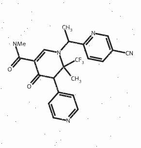 CNC(=O)C1=CN(C(C)c2ccc(C#N)cn2)C(C)(C(F)(F)F)C(c2ccncc2)C1=O